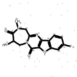 CCCC1Cn2c(nc3c(oc4cc(F)ccc43)c2=O)CN(C)C1=O